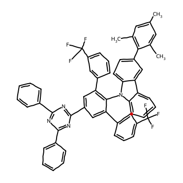 Cc1cc(C)c(-c2ccc3c(c2)c2ccccc2n3-c2c(-c3cccc(C(F)(F)F)c3)cc(-c3nc(-c4ccccc4)nc(-c4ccccc4)n3)cc2-c2cccc(C(F)(F)F)c2)c(C)c1